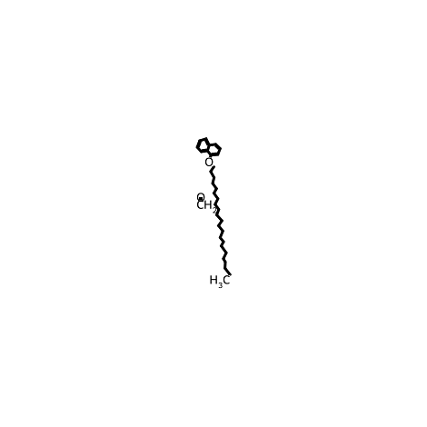 C=O.CCCCCCCCCCCCCCCCCCCCCCOc1cccc2ccccc12